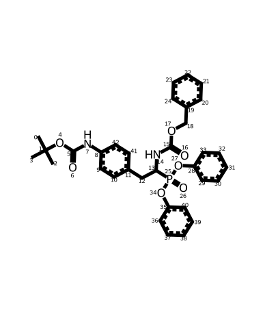 CC(C)(C)OC(=O)Nc1ccc(CC(NC(=O)OCc2ccccc2)P(=O)(Oc2ccccc2)Oc2ccccc2)cc1